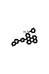 c1ccc([SiH2]c2ccc3c(-c4ccc(-c5ccc6ccccc6c5)cc4)c4ccccc4c(-c4cccc5ccccc45)c3c2)cc1